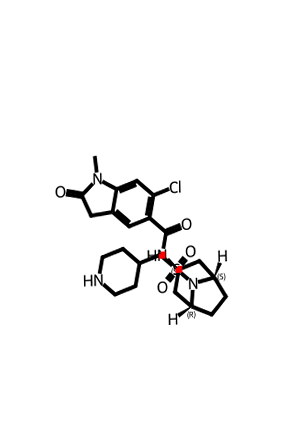 CN1C(=O)Cc2cc(C(=O)N[C@@H]3C[C@H]4CC[C@@H](C3)N4S(=O)(=O)CC3CCNCC3)c(Cl)cc21